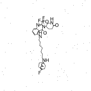 O=C1CCC(n2c(C(F)(F)F)nc3cccc(NCCCCCCCNC45CCC(F)(CC4)CC5)c3c2=O)C(=O)N1